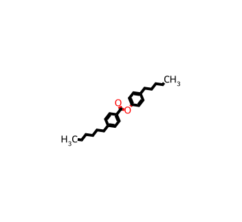 CCCCCCc1ccc(C(=O)Oc2ccc(CCCCC)cc2)cc1